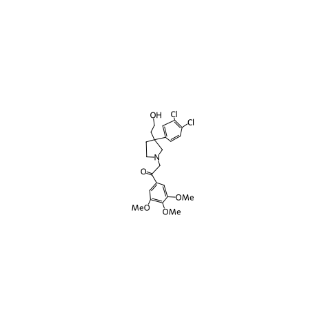 COc1cc(C(=O)CN2CCC(CCO)(c3ccc(Cl)c(Cl)c3)C2)cc(OC)c1OC